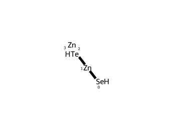 [SeH][Zn][TeH].[Zn]